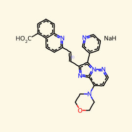 O=C(O)c1cccc2nc(/C=C/c3nc4c(N5CCOCC5)ccnn4c3-c3cccnc3)ccc12.[NaH]